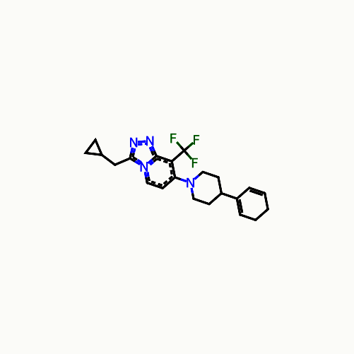 FC(F)(F)c1c(N2CCC(C3=CCCC=C3)CC2)ccn2c(CC3CC3)nnc12